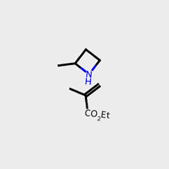 C=C(C)C(=O)OCC.CC1CCN1